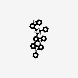 c1ccc(-c2nc(-c3cccc4oc5ccccc5c34)nc(-c3ccc4c5cccc6c5c5c(cccc5n5c7ccccc7c3c45)n6-c3ccccc3)n2)cc1